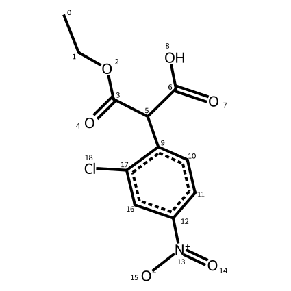 CCOC(=O)C(C(=O)O)c1ccc([N+](=O)[O-])cc1Cl